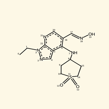 CCn1ncc2c(NC3CCS(=O)(=O)CC3)c(C=NO)cnc21